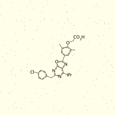 Cc1cc(-c2nc3c(C(C)C)nc(Cc4ccc(Cl)cc4)nc3o2)cc(C)c1OCC(=O)O